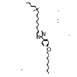 CCCCCCCCOc1ccc(-c2ncc(CCCCCCC(C)(C)CCCC)cn2)cc1